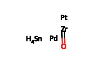 [O]=[Zr].[Pd].[Pt].[SnH4]